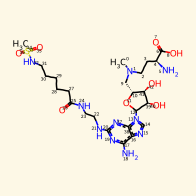 CN(CC[C@H](N)C(=O)O)C[C@H]1OC(n2cnc3c(N)nc(NCCNC(=O)CCCCCNS(C)(=O)=O)nc32)[C@H](O)[C@@H]1O